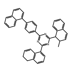 CC1C=Cc2ccccc2C1c1nc(-c2ccc(-c3cccc4ccccc34)cc2)nc(-c2cccc3c2C=CCC3)n1